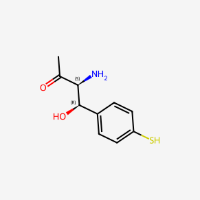 CC(=O)[C@@H](N)[C@H](O)c1ccc(S)cc1